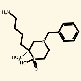 NCCCC[C@@]1(C(=O)O)CN(Cc2ccccc2)CCP1(=O)O